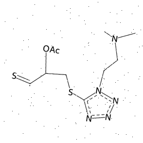 CC(=O)OC([C]=S)CSc1nnnn1CCN(C)C